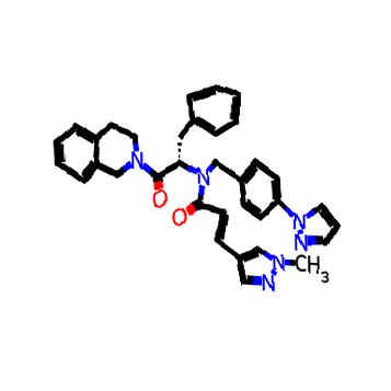 Cn1cc(C=CC(=O)N(Cc2ccc(-n3cccn3)cc2)[C@@H](Cc2ccccc2)C(=O)N2CCc3ccccc3C2)cn1